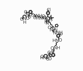 COc1cc(C(=O)NCCCCNC(=O)COc2cccc3c2C(=O)N(C2CCC(=O)NC2=O)C3=O)ccc1Nc1ncc2c(n1)N(C1CCCC1)[C@H](CCCc1nnc3n1-c1sc(C)c(C)c1C(c1ccc(Cl)cc1)=N[C@H]3CC(=O)NCCNC(=O)COc1cccc3c1C(=O)N(C1CCC(=O)NC1=O)C3=O)C(=O)N2C